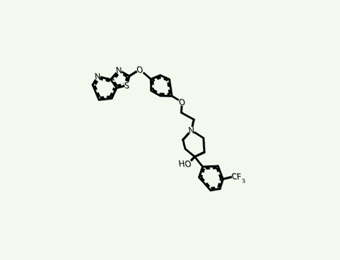 OC1(c2cccc(C(F)(F)F)c2)CCN(CCOc2ccc(Oc3nc4ncccc4s3)cc2)CC1